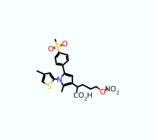 Cc1csc(-n2c(-c3ccc(S(C)(=O)=O)cc3)cc(C(CCCO[N+](=O)[O-])C(=O)O)c2C)c1